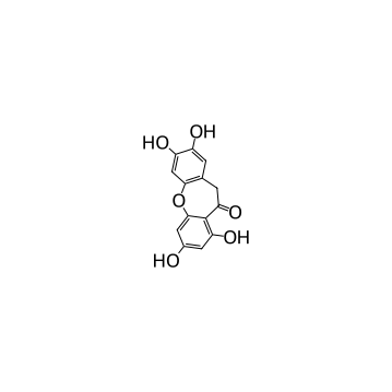 O=C1Cc2cc(O)c(O)cc2Oc2cc(O)cc(O)c21